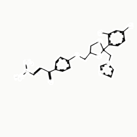 CN(C)/C=C/C(=O)c1ccc(OCC2COC(Cn3ccnc3)(c3ccc(Cl)cc3Cl)O2)cc1